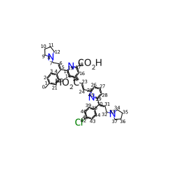 Cc1ccc(/C(=C\CN2CCCC2)c2cccc(C(=O)O)n2)cc1.O=C(O)/C=C/c1cccc(/C(=C/CN2CCCC2)c2ccc(Cl)cc2)n1